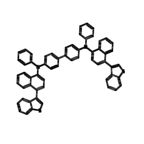 c1ccc(N(c2ccc(-c3ccc(N(c4ccccc4)c4ccc(-c5csc6ccccc56)c5ccccc45)cc3)cc2)c2ccc(-c3csc4ccccc34)c3ccccc23)cc1